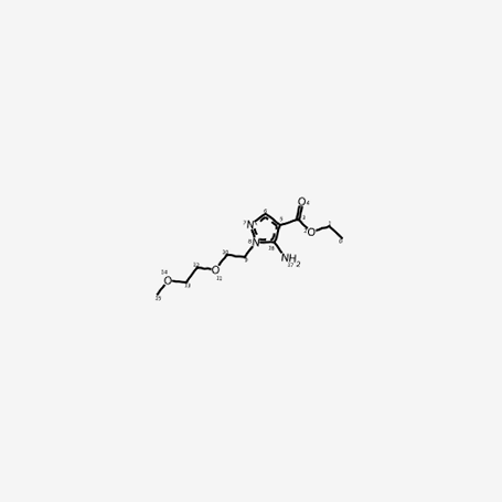 CCOC(=O)c1cnn(CCOCCOC)c1N